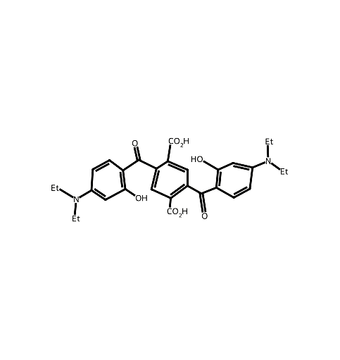 CCN(CC)c1ccc(C(=O)c2cc(C(=O)O)c(C(=O)c3ccc(N(CC)CC)cc3O)cc2C(=O)O)c(O)c1